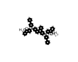 CC1(C)c2ccccc2-c2ccc(N(c3ccc(-c4ccccc4)cc3)c3ccc4c(ccc5c6ccc(N(c7ccc(-c8ccccc8)cc7)c7ccc8c(c7)C(C)(C)C7C=CC=CC87)cc6c6ccccc6c45)c3)cc21